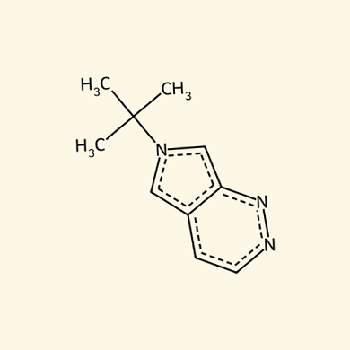 CC(C)(C)n1cc2ccnnc2c1